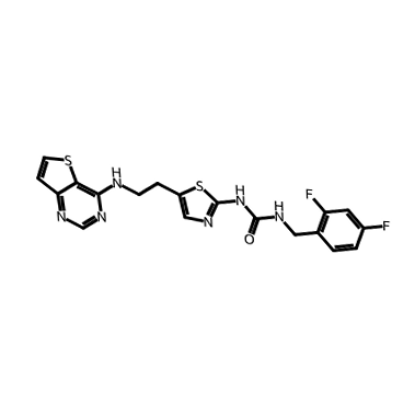 O=C(NCc1ccc(F)cc1F)Nc1ncc(CCNc2ncnc3ccsc23)s1